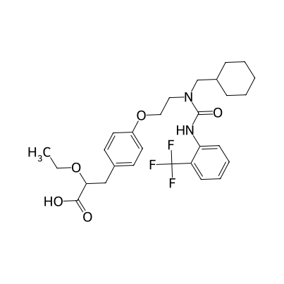 CCOC(Cc1ccc(OCCN(CC2CCCCC2)C(=O)Nc2ccccc2C(F)(F)F)cc1)C(=O)O